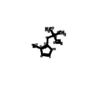 C[Si](C)(C)CC1=[C]([Ti])C=CC1